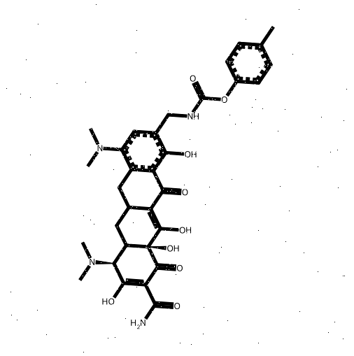 Cc1ccc(OC(=O)NCc2cc(N(C)C)c3c(c2O)C(=O)C2=C(O)[C@]4(O)C(=O)C(C(N)=O)=C(O)[C@@H](N(C)C)C4CC2C3)cc1